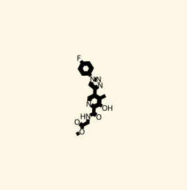 COC(=O)CNC(=O)c1ncc(-c2cn(-c3ccc(F)cc3)nn2)c(C)c1O